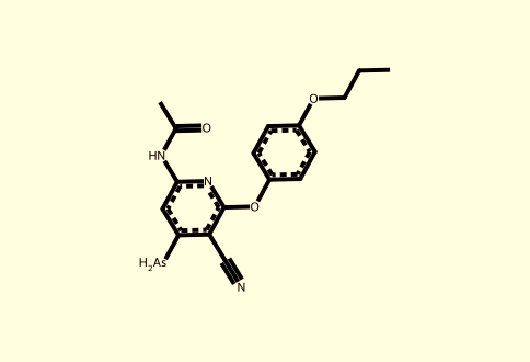 CCCOc1ccc(Oc2nc(NC(C)=O)cc([AsH2])c2C#N)cc1